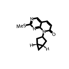 CSc1ncc2ccc(=O)n(C3C[C@@H]4C[C@@H]4C3)c2n1